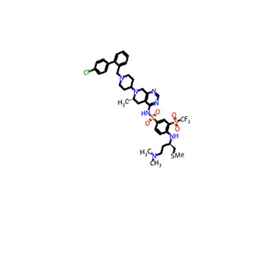 CSC[C@@H](CCN(C)C)Nc1ccc(S(=O)(=O)Nc2ncnc3c2C[C@H](C)N(C2CCN(Cc4ccccc4-c4ccc(Cl)cc4)CC2)C3)cc1S(=O)(=O)C(F)(F)F